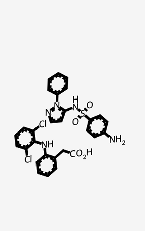 Nc1ccc(S(=O)(=O)Nc2ccnn2-c2ccccc2)cc1.O=C(O)Cc1ccccc1Nc1c(Cl)cccc1Cl